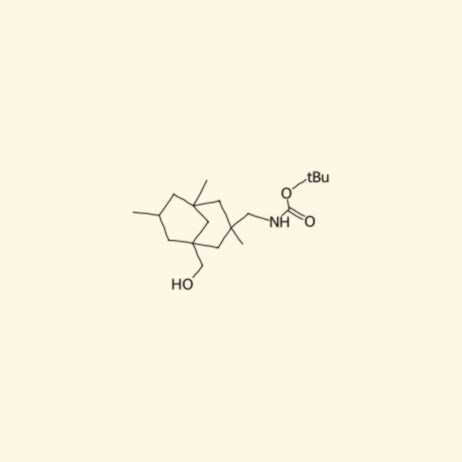 CC1CC2(C)CC(C)(CNC(=O)OC(C)(C)C)CC(CO)(C1)C2